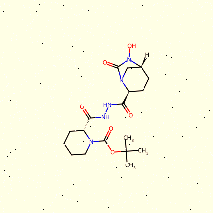 CC(C)(C)OC(=O)N1CCCC[C@@H]1C(=O)NNC(=O)[C@@H]1CC[C@@H]2CN1C(=O)N2O